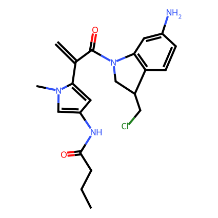 C=C(C(=O)N1CC(CCl)c2ccc(N)cc21)c1cc(NC(=O)CCC)cn1C